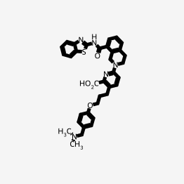 CN(C)Cc1ccc(OCCCc2ccc(N3CCc4cccc(C(=O)Nc5nc6ccccc6s5)c4C3)nc2C(=O)O)cc1